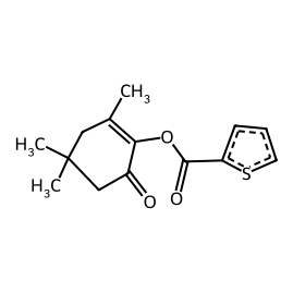 CC1=C(OC(=O)c2cccs2)C(=O)CC(C)(C)C1